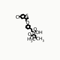 CC(C)CC(C(=O)O)N(CCc1cccc(OCc2csc3ccc(Cl)cc23)c1)C(=O)O